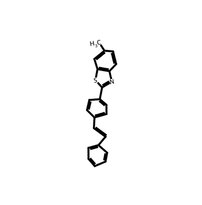 Cc1ccc2nc(-c3ccc(/C=C/c4ccccc4)cc3)sc2c1